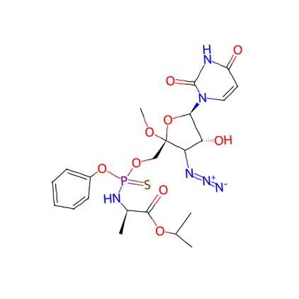 CO[C@]1(COP(=S)(N[C@H](C)C(=O)OC(C)C)Oc2ccccc2)O[C@@H](n2ccc(=O)[nH]c2=O)[C@H](O)C1N=[N+]=[N-]